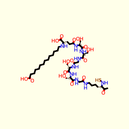 CC(=O)[C@H](CCCCNC(=O)CNC(=O)[C@H](CO)NC(=O)[C@H](CO)NC(=O)CNC(=O)[C@H](CO)NC(=O)[C@H](CO)NC(=O)CC[C@H](NCCCCCCCCCCCCCC(=O)O)C(=O)O)NS